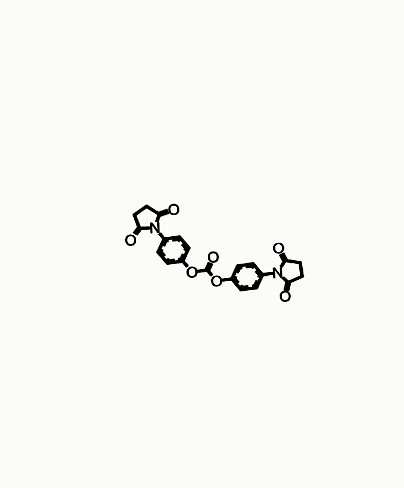 O=C(Oc1ccc(N2C(=O)CCC2=O)cc1)Oc1ccc(N2C(=O)CCC2=O)cc1